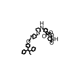 CCC(=C(c1ccccc1)c1ccc(OCCN2CCC(CN3CCC[C@H](Nc4ccc5c(c4)C(=O)N(C4CCC(=O)NC4=O)C5=O)C3)CC2)cc1)c1ccccc1